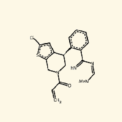 C=CC(=O)N1Cc2sc(Cl)cc2[C@@H](c2ccccc2C(=N)/N=C\NC)C1